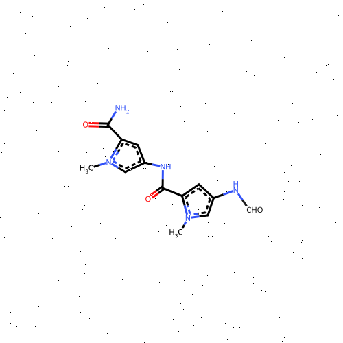 Cn1cc(NC(=O)c2cc(NC=O)cn2C)cc1C(N)=O